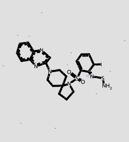 NS/N=C1/C(S(=O)(=O)N2CCCC23CCN(c2cnc4ccccc4n2)CC3)=CC=CC1I